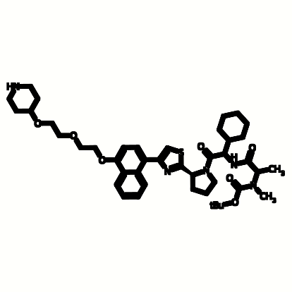 CC(C(=O)NC(C(=O)N1CCC[C@H]1c1nc(-c2ccc(OCCOCCOC3CCNCC3)c3ccccc23)cs1)C1CCCCC1)N(C)C(=O)OC(C)(C)C